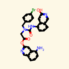 Nc1cccc2cnc(OC(=O)CN(Cc3ccc(Br)cc3)C(=O)Nc3cccc4cnc(O)cc34)cc12